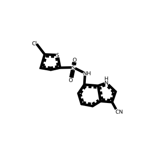 N#Cc1c[nH]c2c(NS(=O)(=O)c3ccc(Cl)s3)cccc12